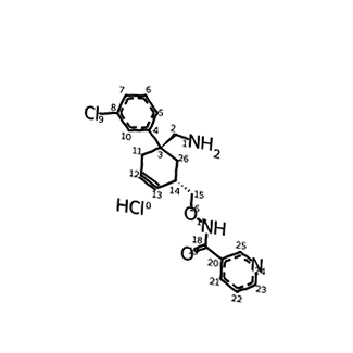 Cl.NC[C@]1(c2cccc(Cl)c2)CC#C[C@@H](CONC(=O)c2cccnc2)C1